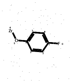 Fc1ccc([O][Zr])cc1